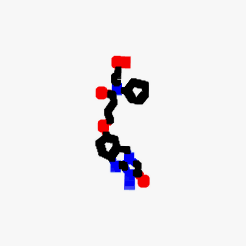 O=C1CN2Cc3cc(OCCCC(=O)N(CCO)c4ccccc4)ccc3N=C2N1